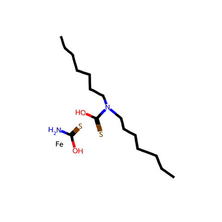 CCCCCCCN(CCCCCCC)C(O)=S.NC(O)=S.[Fe]